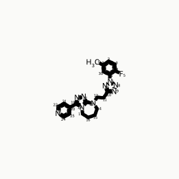 Cc1ccc(F)c(-n2nnc(CCN3CCCCn4c(-c5ccncc5)nnc43)n2)c1